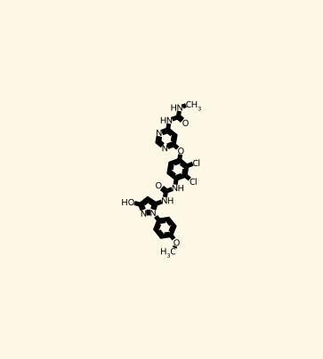 CNC(=O)Nc1cc(Oc2ccc(NC(=O)Nc3cc(O)nn3-c3ccc(OC)cc3)c(Cl)c2Cl)ncn1